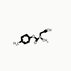 C#CCN(C)C(=O)Oc1ccc(C)cc1